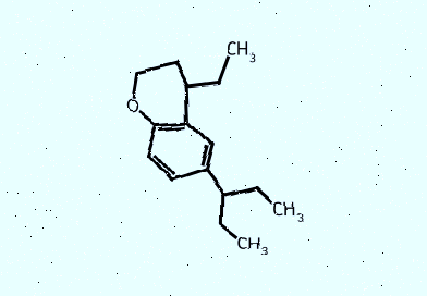 CCC(CC)c1ccc2c(c1)C(CC)CCO2